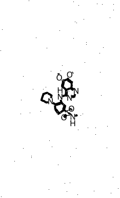 CNS(=O)(=O)c1ccc(N2CCCCC2)c(Nc2ncnc3cc(OC)c(OC)cc23)c1